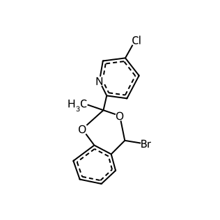 CC1(c2ccc(Cl)cn2)Oc2ccccc2C(Br)O1